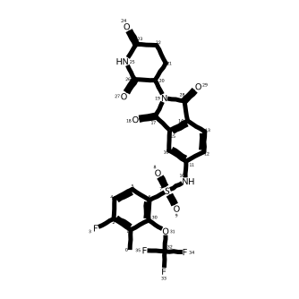 Cc1c(F)ccc(S(=O)(=O)Nc2ccc3c(c2)C(=O)N(C2CCC(=O)NC2=O)C3=O)c1OC(F)(F)F